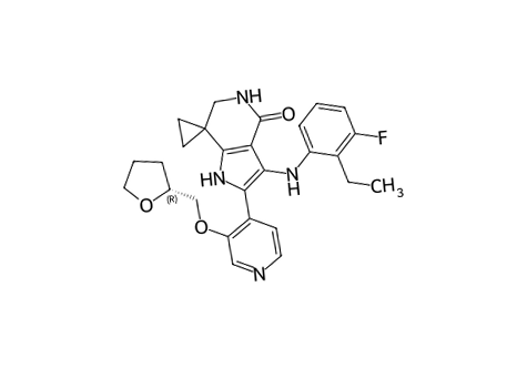 CCc1c(F)cccc1Nc1c(-c2ccncc2OC[C@H]2CCCO2)[nH]c2c1C(=O)NCC21CC1